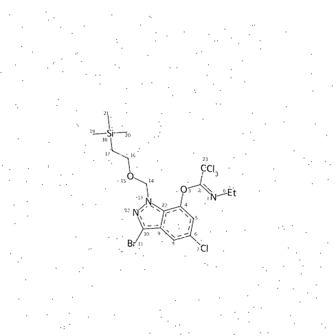 CCN=C(Oc1cc(Cl)cc2c(Br)nn(COCC[Si](C)(C)C)c12)C(Cl)(Cl)Cl